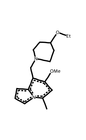 CCOC1CCN(Cc2c(OC)cc(C)n3cccc23)CC1